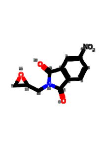 O=C1c2ccc([N+](=O)[O-])cc2C(=O)N1CC1CO1